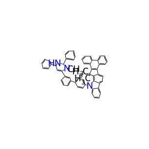 CN1C(c2cccc(-c3ccc(-n4c5ccccc5c5ccc6c(c54)C(C)(C)c4c-6c5ccccc5c5ccccc45)cc3)c2)=CC(c2ccccc2)NC1c1ccccc1